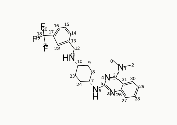 CN(C)c1nc(N[C@H]2CC[C@@H](NCc3cccc(C(F)(F)F)c3)CC2)nc2ccccc12